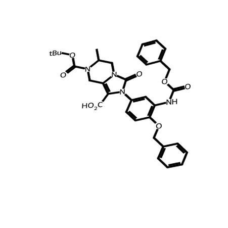 CC1Cn2c(c(C(=O)O)n(-c3ccc(OCc4ccccc4)c(NC(=O)OCc4ccccc4)c3)c2=O)CN1C(=O)OC(C)(C)C